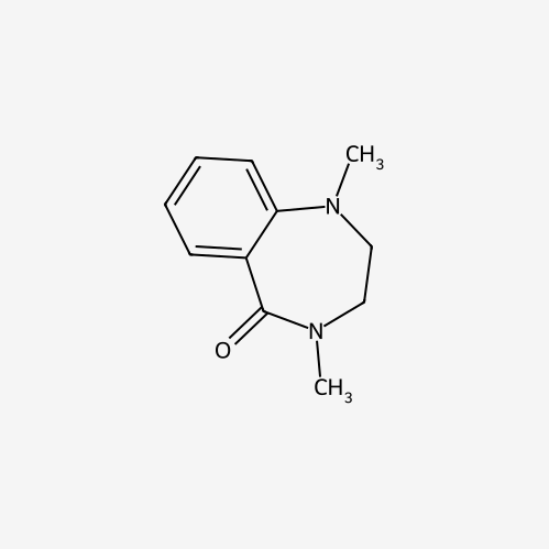 CN1CCN(C)c2ccccc2C1=O